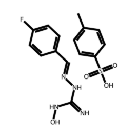 Cc1ccc(S(=O)(=O)O)cc1.N=C(NO)NN=Cc1ccc(F)cc1